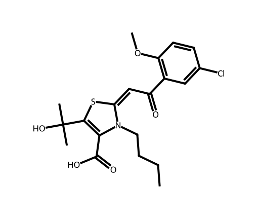 CCCCN1C(=CC(=O)c2cc(Cl)ccc2OC)SC(C(C)(C)O)=C1C(=O)O